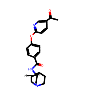 CC(=O)c1ccc(Oc2ccc(C(=O)N[C@H]3CN4CCC3CC4)cc2)nc1